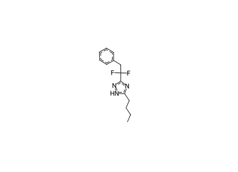 CCCCc1nc(C(F)(F)Cc2ccccc2)n[nH]1